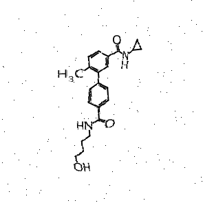 Cc1ccc(C(=O)NC2CC2)cc1-c1ccc(C(=O)NCCCCO)cc1